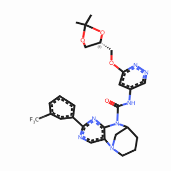 CC1(C)OC[C@@H](COc2cc(NC(=O)N3c4nc(-c5cccc(C(F)(F)F)c5)ncc4N4CCCC3C4)cnn2)O1